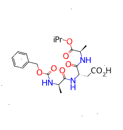 CC(C)OC(=O)[C@@H](C)NC(=O)[C@H](CC(=O)O)NC(=O)[C@@H](C)NC(=O)OCc1ccccc1